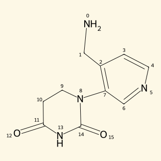 NCc1ccncc1N1CCC(=O)NC1=O